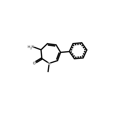 CN1C=C(c2ccccc2)C=CC(N)C1=O